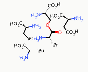 CC(C)C[C@H](N)C(=O)O.CC(C)[C@H](N)C(=O)OC[C@H](N)C(=O)O.CC[C@H](C)[C@H](N)C(=O)O.N[C@@H](CC(=O)O)C(=O)O